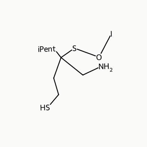 CCCC(C)C(CN)(CCS)SOI